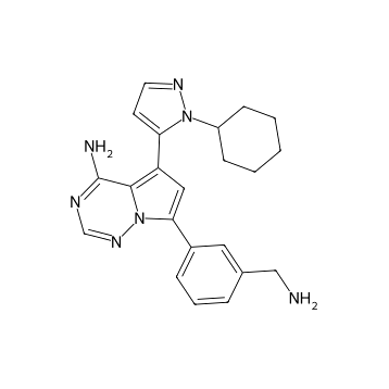 NCc1cccc(-c2cc(-c3ccnn3C3CCCCC3)c3c(N)ncnn23)c1